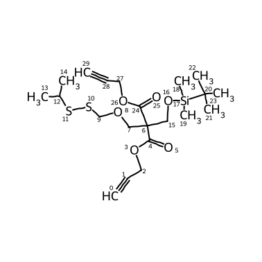 C#CCOC(=O)C(COCSSC(C)C)(CO[Si](C)(C)C(C)(C)C)C(=O)OCC#C